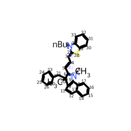 CCCCN1/C(=C/C=C/C2=[N+](C)c3c(ccc4ccccc34)C2(C)Cc2ccccc2)Sc2ccccc21